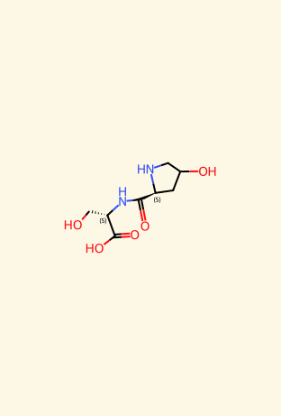 O=C(O)[C@H](CO)NC(=O)[C@@H]1CC(O)CN1